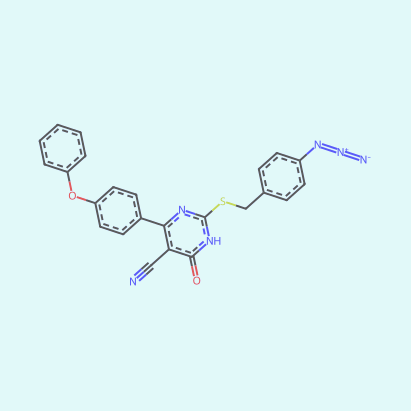 N#Cc1c(-c2ccc(Oc3ccccc3)cc2)nc(SCc2ccc(N=[N+]=[N-])cc2)[nH]c1=O